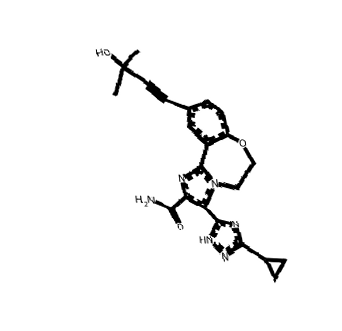 CC(C)(O)C#Cc1ccc2c(c1)-c1nc(C(N)=O)c(-c3nc(C4CC4)n[nH]3)n1CCO2